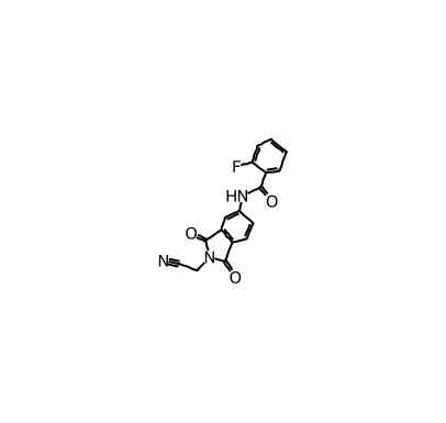 N#CCN1C(=O)c2ccc(NC(=O)c3ccccc3F)cc2C1=O